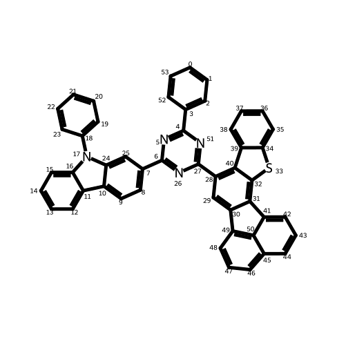 c1ccc(-c2nc(-c3ccc4c5ccccc5n(-c5ccccc5)c4c3)nc(-c3cc4c(c5sc6ccccc6c35)-c3cccc5cccc-4c35)n2)cc1